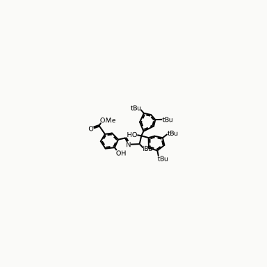 CCC(C)C(N=Cc1cc(C(=O)OC)ccc1O)C(O)(c1cc(C(C)(C)C)cc(C(C)(C)C)c1)c1cc(C(C)(C)C)cc(C(C)(C)C)c1